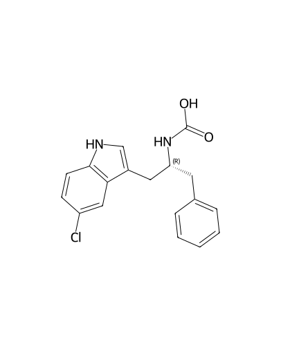 O=C(O)N[C@H](Cc1ccccc1)Cc1c[nH]c2ccc(Cl)cc12